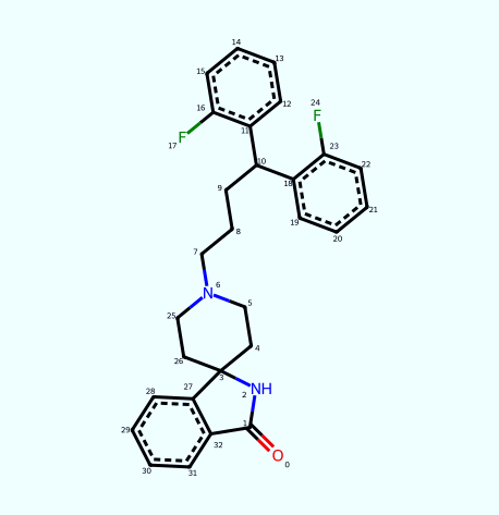 O=C1NC2(CCN(CCCC(c3ccccc3F)c3ccccc3F)CC2)c2ccccc21